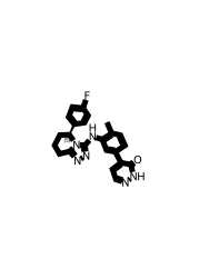 Cc1ccc(-c2ccn[nH]c2=O)cc1Nc1nnc2n1[C@H](c1ccc(F)cc1)CCC2